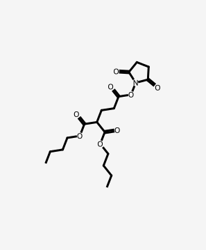 CCCCOC(=O)C(CCC(=O)ON1C(=O)CCC1=O)C(=O)OCCCC